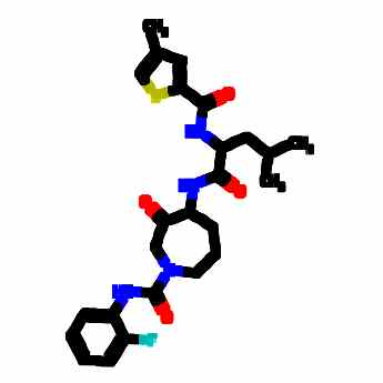 Cc1csc(C(=O)NC(CC(C)C)C(=O)NC2CCCN(C(=O)Nc3ccccc3F)CC2=O)c1